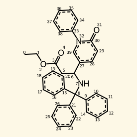 CCOC(=O)CC(NC(c1ccccc1)(c1ccccc1)c1ccccc1)c1ccc(=O)n(-c2ccccc2)c1